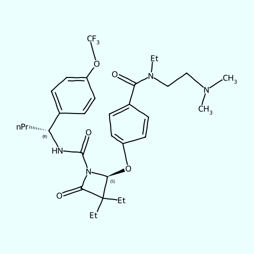 CCC[C@@H](NC(=O)N1C(=O)C(CC)(CC)[C@@H]1Oc1ccc(C(=O)N(CC)CCN(C)C)cc1)c1ccc(OC(F)(F)F)cc1